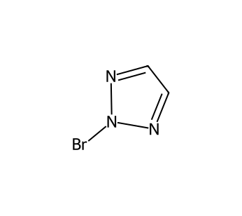 Brn1nccn1